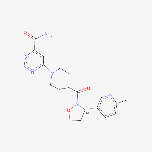 Cc1ccc([C@@H]2CCON2C(=O)C2CCN(c3cc(C(N)=O)ncn3)CC2)cn1